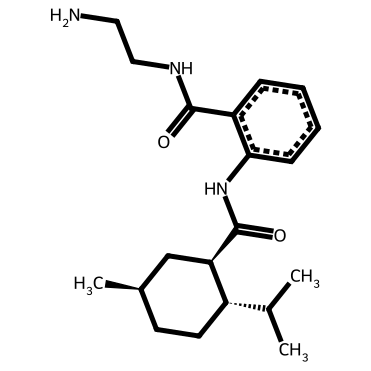 CC(C)[C@@H]1CC[C@@H](C)C[C@H]1C(=O)Nc1ccccc1C(=O)NCCN